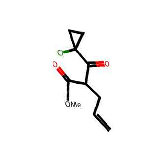 C=CCC(C(=O)OC)C(=O)C1(Cl)CC1